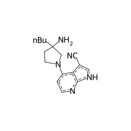 CCCCC1(N)CCN(c2ccnc3[nH]cc(C#N)c23)C1